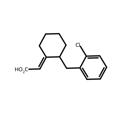 O=C(O)/C=C1\CCCCC1Cc1ccccc1Cl